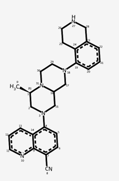 C[C@@H]1CN(c2ccc(C#N)c3ncccc23)CC2CN(c3cccc4c3CCNC4)CCN21